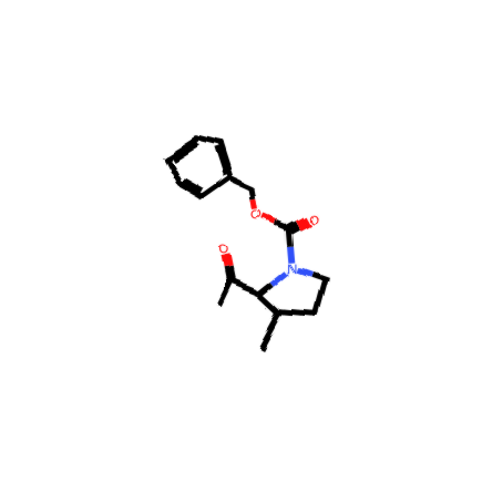 CC(=O)C1C(C)CCN1C(=O)OCc1ccccc1